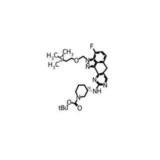 CC(C)(C)OC(=O)N1CCC[C@H](Nc2ncc3c(n2)-c2nn(COCC[Si](C)(C)C)c4c(F)ccc(c24)C3)C1